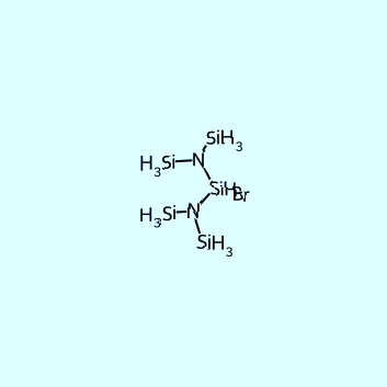 [SiH3]N([SiH3])[SiH](Br)N([SiH3])[SiH3]